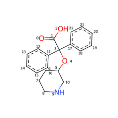 O=C(O)C(OC1CCCNC1)(c1ccccc1)c1ccccc1